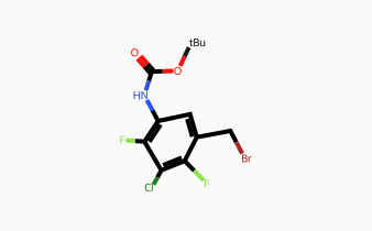 CC(C)(C)OC(=O)Nc1cc(CBr)c(F)c(Cl)c1F